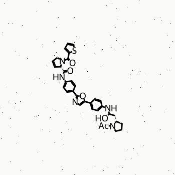 CC(=O)N1CCC[C@H]1CC(O)Nc1ccc(-c2cnc(-c3ccc(NC(=O)[C@@H]4C=CCN4C(=O)c4cccs4)cc3)o2)cc1